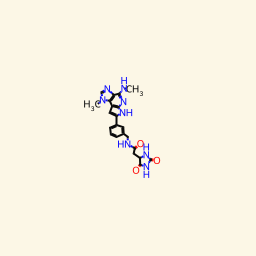 CNc1nc2[nH]c(-c3cccc(CNC(=O)CC4NC(=O)NC4=O)c3)cc2c2c1ncn2C